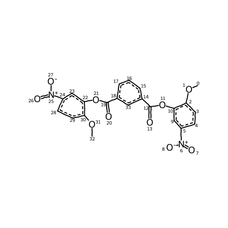 COc1ccc([N+](=O)[O-])cc1OC(=O)c1cccc(C(=O)Oc2cc([N+](=O)[O-])ccc2OC)c1